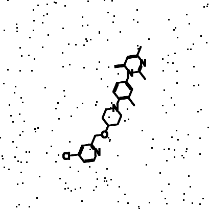 C=C1C=C(C)N=C(C)N1c1ccc(N2CCC(OCc3cc(Cl)ccn3)CC2)c(C)c1